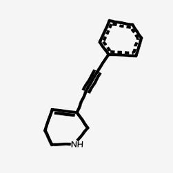 C(#Cc1ccccc1)C1=CCCNC1